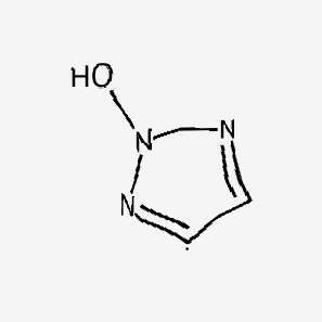 On1n[c]cn1